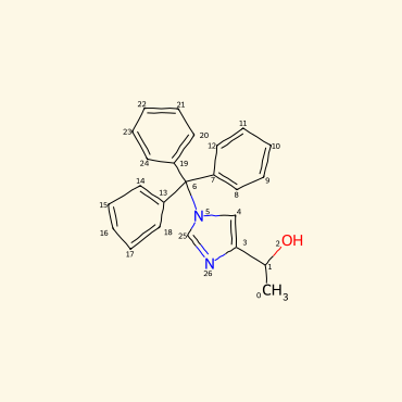 CC(O)c1cn(C(c2ccccc2)(c2ccccc2)c2ccccc2)cn1